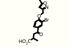 Cc1cc(COc2ccc(C(=O)CC(C)C(=O)O)cc2Br)no1